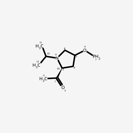 CC(=O)[C@@H]1CC(OP)CN1C(C)C